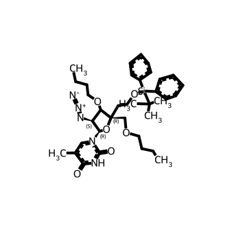 CCCCOC[C@@]1(CCO[Si](c2ccccc2)(c2ccccc2)C(C)(C)C)O[C@@H](n2cc(C)c(=O)[nH]c2=O)[C@@H](N=[N+]=[N-])C1OCCCC